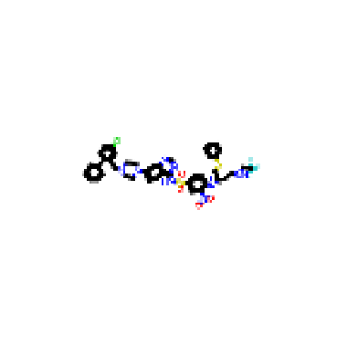 O=[N+]([O-])c1cc(S(=O)(=O)Nc2ncnc3cc(N4CCN(Cc5cc(Cl)ccc5-c5ccccc5)CC4)ccc23)ccc1N[C@H](CCNCC(F)(F)F)CSc1ccccc1